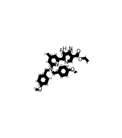 CCOC(=O)c1cnc(-c2cc(C)cc(N(Cc3ccc(OC)cc3)Cc3ccc(OC)cc3)n2)c(F)c1N